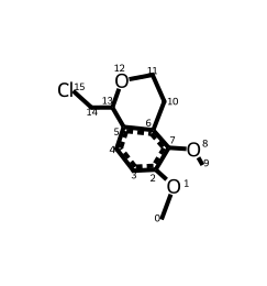 COc1ccc2c(c1OC)CCOC2CCl